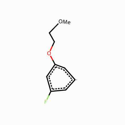 COCCOc1c[c]cc(F)c1